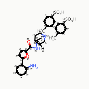 Cc1ccc(S(=O)(=O)O)cc1.Cc1ccc(S(=O)(=O)O)cc1.Nc1ccccc1-c1ccc(C(=O)N[C@H]2CN3CCC2CC3)o1